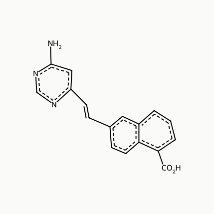 Nc1cc(C=Cc2ccc3c(C(=O)O)cccc3c2)ncn1